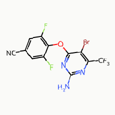 N#Cc1cc(F)c(Oc2nc(N)nc(C(F)(F)F)c2Br)c(F)c1